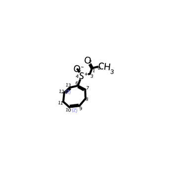 CC(=O)C[S+]([O-])C1=CC/C=C\C/C=C\1